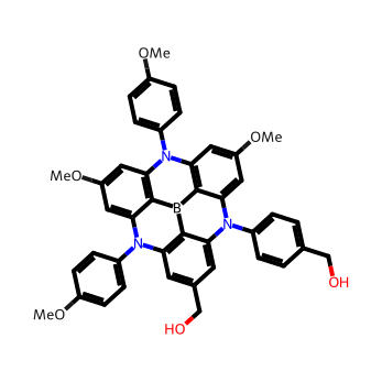 COc1ccc(N2c3cc(CO)cc4c3B3c5c(cc(OC)cc5N(c5ccc(OC)cc5)c5cc(OC)cc2c53)N4c2ccc(CO)cc2)cc1